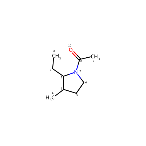 CCC1C(C)CCN1C(C)=O